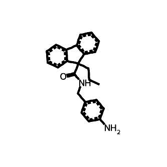 CCCC1(C(=O)NCc2ccc(N)cc2)c2ccccc2-c2ccccc21